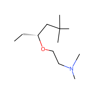 CC[C@H](CC(C)(C)C)OCCN(C)C